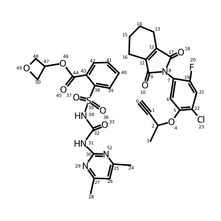 C#CC(C)Oc1cc(N2C(=O)C3=C(CCCC3)C2=O)c(F)cc1Cl.Cc1cc(C)nc(NC(=O)NS(=O)(=O)c2ccccc2C(=O)OC2COC2)n1